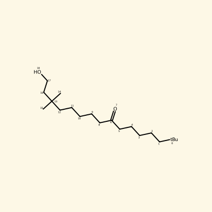 CC(C)(C)CCCCCC(=O)CCCCCC(C)(C)CCO